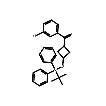 CC(C)(C)[Si](OC1CC(C(=O)c2cccc(Cl)c2)C1)(c1ccccc1)c1ccccc1